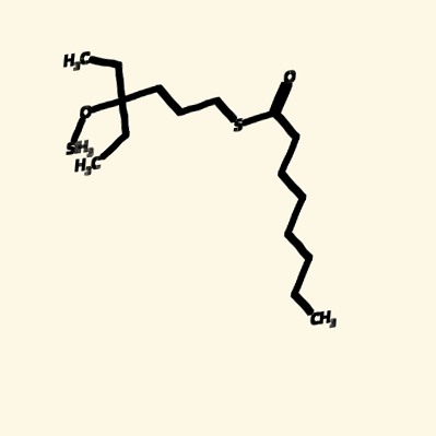 CCCCCCCC(=O)SCCCC(CC)(CC)O[SiH3]